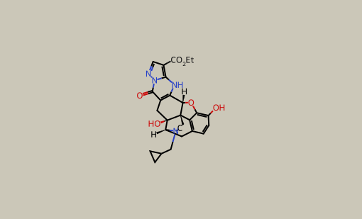 CCOC(=O)c1cnn2c(=O)c3c([nH]c12)[C@@H]1Oc2c(O)ccc4c2[C@@]12CCN(CC1CC1)[C@H](C4)[C@]2(O)C3